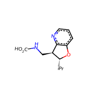 CC(C)[C@H]1Oc2cccnc2[C@@H]1CNC(=O)O